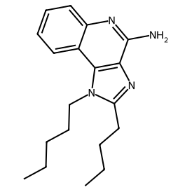 CCCCCn1c(CCCC)nc2c(N)nc3ccccc3c21